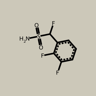 NS(=O)(=O)C(F)c1cccc(F)c1F